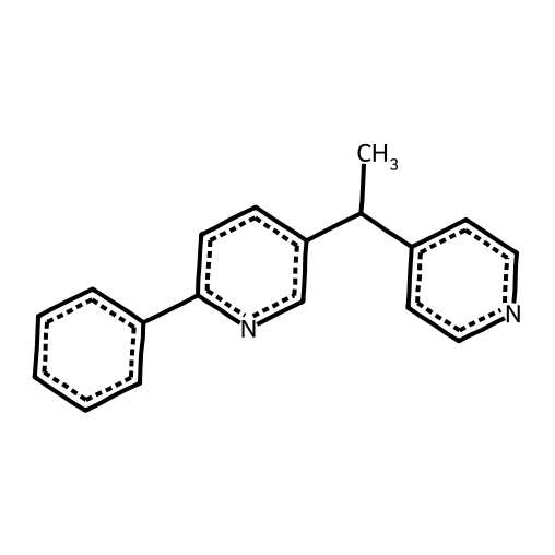 CC(c1ccncc1)c1ccc(-c2ccccc2)nc1